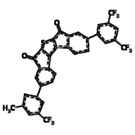 Cc1cc(-c2ccc3c(c2)c(=O)c2sc4c(=O)c5cc(-c6cc(C(F)(F)F)cc(C(F)(F)F)c6)ccc5c4c23)cc(C(F)(F)F)c1